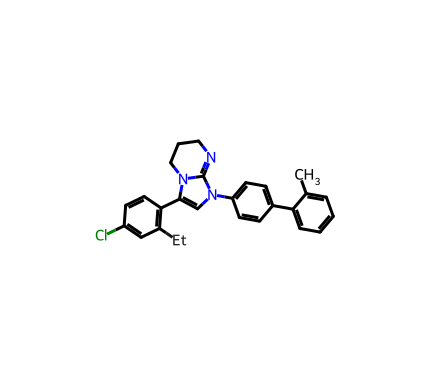 CCc1cc(Cl)ccc1C1=CN(c2ccc(-c3ccccc3C)cc2)C2=NCCCN12